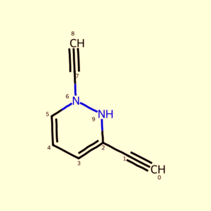 C#CC1=CC=CN(C#C)N1